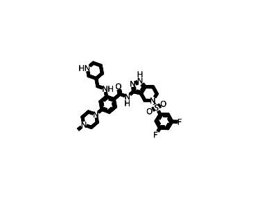 CN1CCN(c2ccc(C(=O)Nc3n[nH]c4c3CN(S(=O)(=O)c3cc(F)cc(F)c3)CC4)c(NCC3CCCNC3)c2)CC1